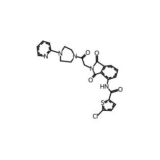 O=C(Nc1cccc2c1C(=O)N(CC(=O)N1CCN(c3ccccn3)CC1)C2=O)c1ccc(Cl)s1